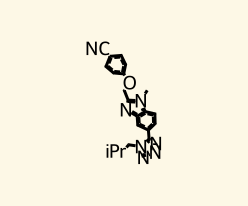 CC(C)Cn1nnnc1-c1ccc2c(c1)nc(COc1ccc(C#N)cc1)n2C